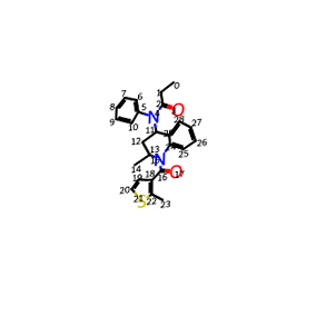 CCC(=O)N(c1ccccc1)C1CC(C)N(C(=O)c2ccsc2C)c2ccccc21